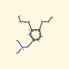 CCCc1ccc(CN(C)C)cc1CCC